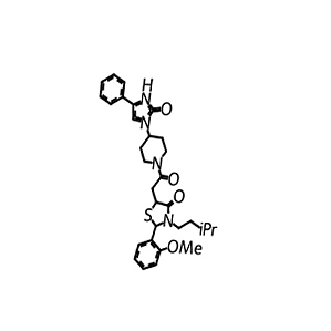 COc1ccccc1C1SC(CC(=O)N2CCC(n3cc(-c4ccccc4)[nH]c3=O)CC2)C(=O)N1CCC(C)C